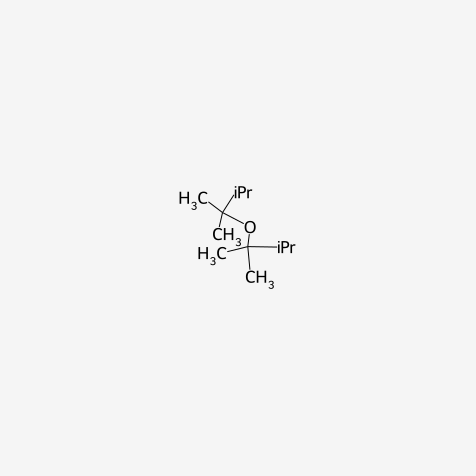 CC(C)C(C)(C)OC(C)(C)C(C)C